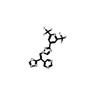 FC(F)(F)c1cc(-c2ncn(/C=C(\c3cncnc3)c3nnco3)n2)cc(C(F)(F)F)n1